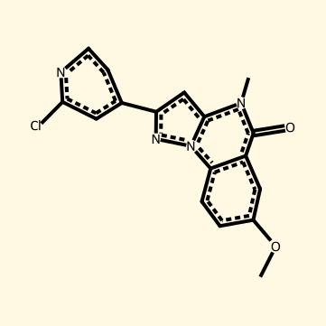 COc1ccc2c(c1)c(=O)n(C)c1cc(-c3ccnc(Cl)c3)nn21